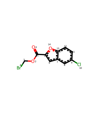 O=C(OCBr)c1cc2cc(Cl)ccc2o1